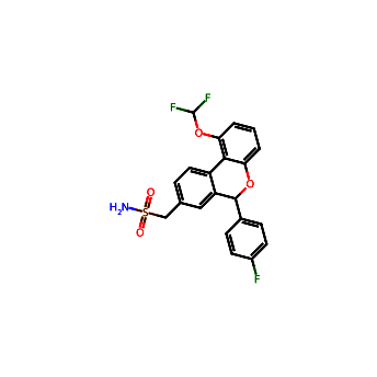 NS(=O)(=O)Cc1ccc2c(c1)C(c1ccc(F)cc1)Oc1cccc(OC(F)F)c1-2